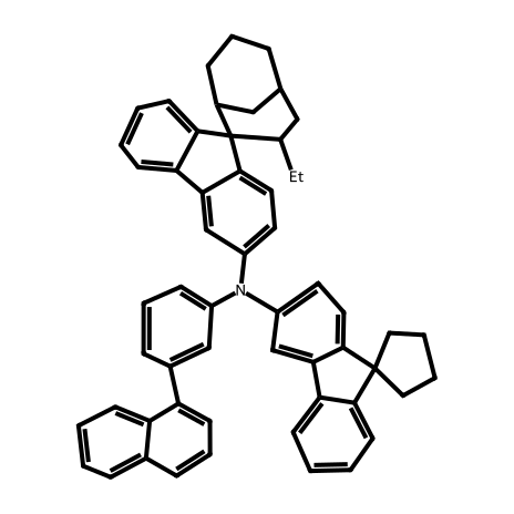 CCC1CC2CCCC(C2)C12c1ccccc1-c1cc(N(c3cccc(-c4cccc5ccccc45)c3)c3ccc4c(c3)-c3ccccc3C43CCCC3)ccc12